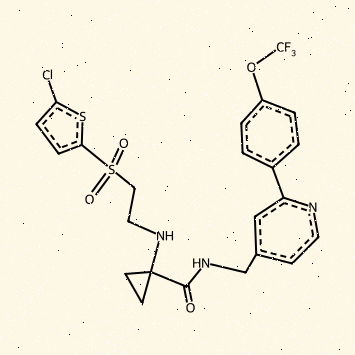 O=C(NCc1ccnc(-c2ccc(OC(F)(F)F)cc2)c1)C1(NCCS(=O)(=O)c2ccc(Cl)s2)CC1